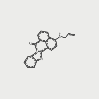 C=CCNc1ccc2c3c1cccc3c(=O)n1c3ccccc3nc21